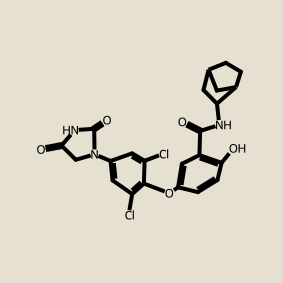 O=C1CN(c2cc(Cl)c(Oc3ccc(O)c(C(=O)NC4CC5CCC4C5)c3)c(Cl)c2)C(=O)N1